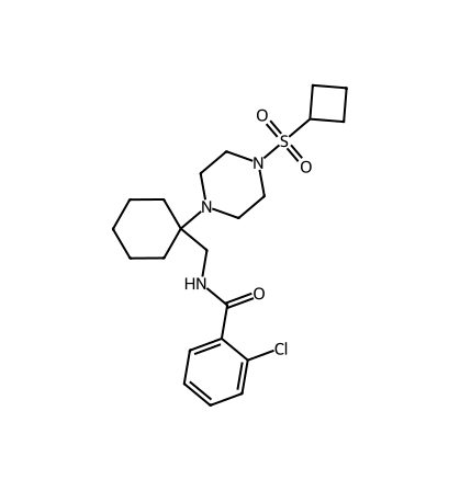 O=C(NCC1(N2CCN(S(=O)(=O)C3CCC3)CC2)CCCCC1)c1ccccc1Cl